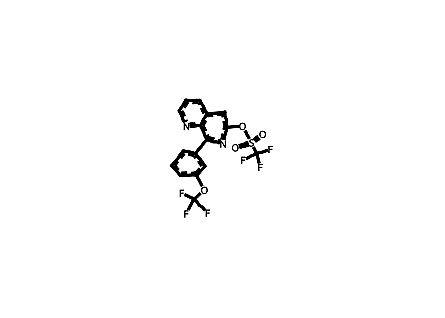 O=S(=O)(Oc1cc2cccnc2c(-c2cccc(OC(F)(F)F)c2)n1)C(F)(F)F